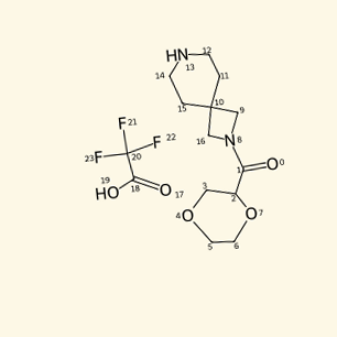 O=C(C1COCCO1)N1CC2(CCNCC2)C1.O=C(O)C(F)(F)F